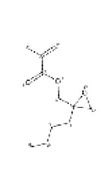 C=C(C)C(=O)OCC1(CCCC)CO1